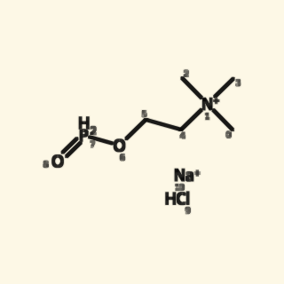 C[N+](C)(C)CCO[PH2]=O.Cl.[Na+]